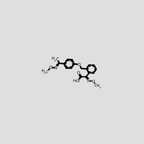 CON=C(C)c1ccc(OCc2ccccc2/C(=N\OC)C(=O)O)cc1